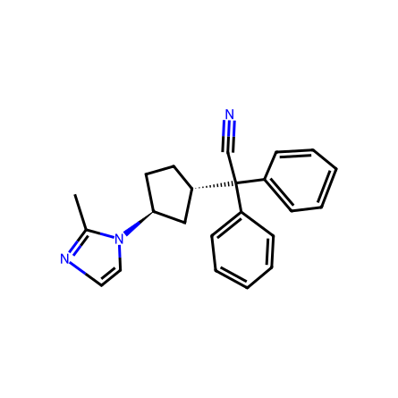 Cc1nccn1[C@H]1CC[C@H](C(C#N)(c2ccccc2)c2ccccc2)C1